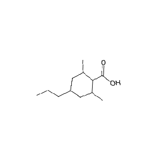 CCCC1CC(C)C(C(=O)O)C(C)C1